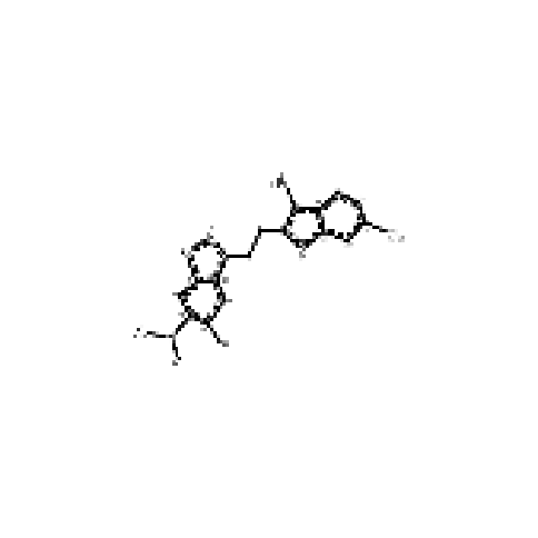 CCCc1c(CCc2noc3cc(N(C)C(C)=O)c(C)cc23)sc2cc(C(F)(F)F)ccc12